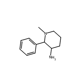 CN1CCCC(N)C1c1ccccc1